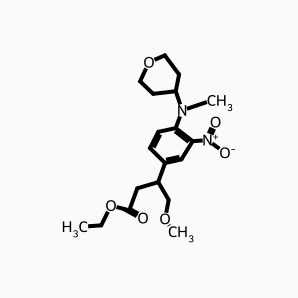 CCOC(=O)CC(COC)c1ccc(N(C)C2CCOCC2)c([N+](=O)[O-])c1